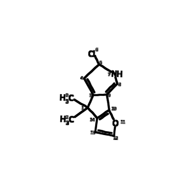 CC1(C)C2=CC(Cl)NC=C2c2occc21